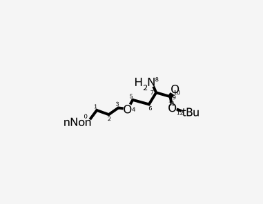 CCCCCCCCCCCCOCCC(N)C(=O)OC(C)(C)C